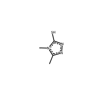 Cc1nnc(S)n1C